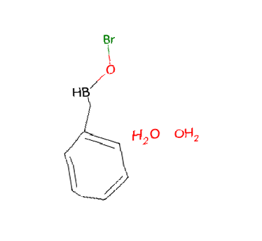 BrOBc1ccccc1.O.O